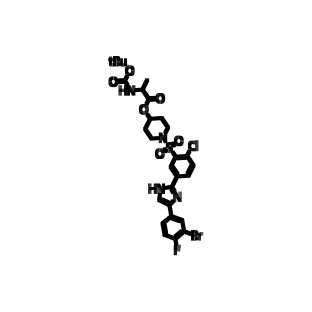 CC(NC(=O)OC(C)(C)C)C(=O)OC1CCN(S(=O)(=O)c2cc(-c3nc(-c4ccc(F)c(Br)c4)c[nH]3)ccc2Cl)CC1